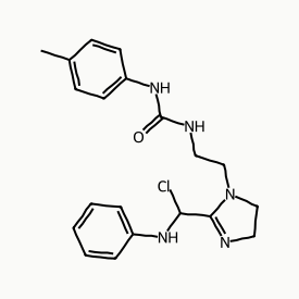 Cc1ccc(NC(=O)NCCN2CCN=C2C(Cl)Nc2ccccc2)cc1